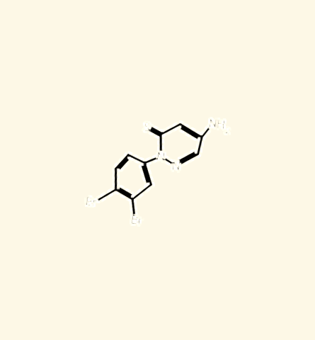 Nc1cnn(-c2ccc(Br)c(Br)c2)c(=S)c1